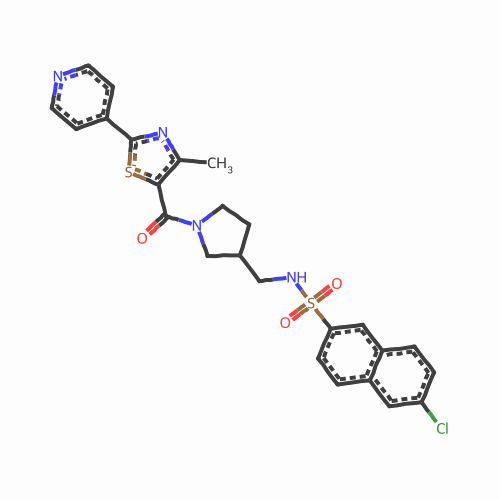 Cc1nc(-c2ccncc2)sc1C(=O)N1CCC(CNS(=O)(=O)c2ccc3cc(Cl)ccc3c2)C1